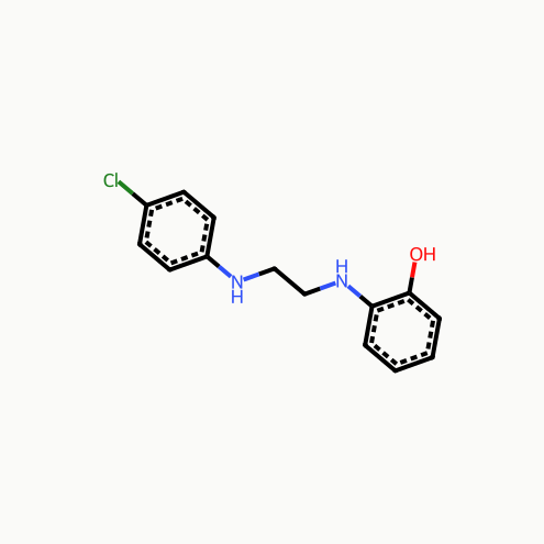 Oc1ccccc1NCCNc1ccc(Cl)cc1